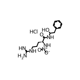 Cl.N=C(N)NCCC[C@H](N[N+](=O)[O-])C(=O)NC(O)Cc1ccccc1